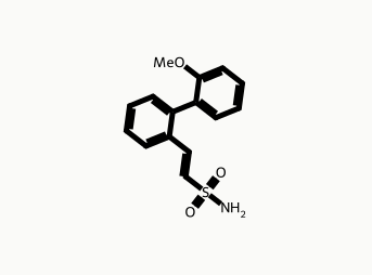 COc1ccccc1-c1ccccc1/C=C/S(N)(=O)=O